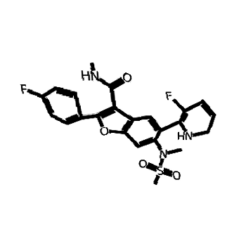 CNC(=O)c1c(-c2ccc(F)cc2)oc2cc(N(C)S(C)(=O)=O)c(C3=C(F)C=CCN3)cc12